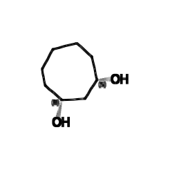 O[C@@H]1CCCCC[C@H](O)C1